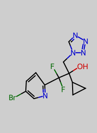 OC(Cn1cnnn1)(C1CC1)C(F)(F)c1ccc(Br)cn1